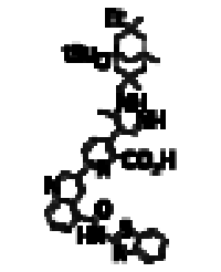 CCC1(C)CC2(C)CC(C)(CN/C(C)=C(\C=N)c3ccc(-c4cnc5cccc(C(=O)Nc6nc7ccccc7s6)c5c4)nc3C(=O)O)CC(OC(C)(C)C)(C1)C2